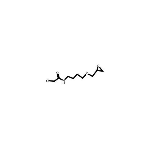 O=C(CCl)NCCCCOCC1CO1